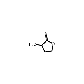 CC1CCOC1=S